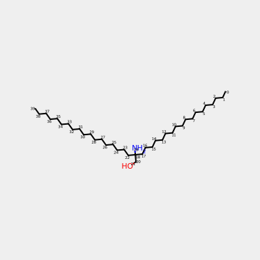 CCCCCCCCCCCCCCCCCCC(N)(CO)CCCCCCCCCCCCCCCCCC